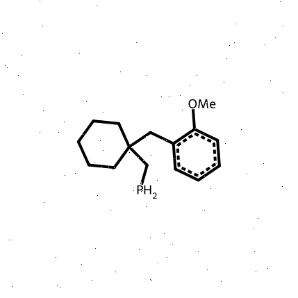 COc1ccccc1CC1(CP)CCCCC1